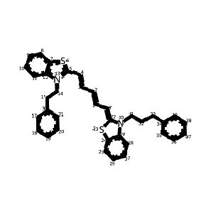 C(/C=C/C=C/c1sc2ccccc2[n+]1CCc1ccccc1)=C1/Sc2ccccc2N1CCCc1ccccc1